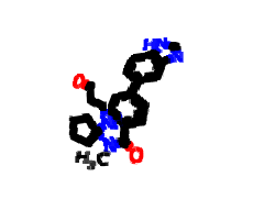 CN(C(=O)c1ccc(-c2ccc3[nH]cnc3c2)cc1)C1(NCCC=O)CCCC1